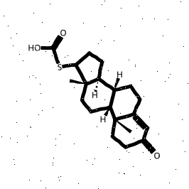 C[C@]12CCC(=O)C=C1CC[C@@H]1[C@H]2CC[C@]2(C)C(SC(=O)O)CC[C@@H]12